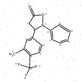 Cc1cc(C2CC(=O)ON2c2ccccc2)ccc1C(F)(F)F